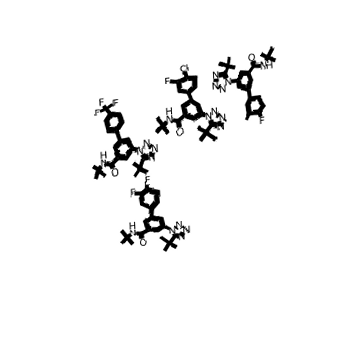 CC(C)(C)NC(=O)c1cc(-c2ccc(C(F)(F)F)cc2)cc(-n2nnnc2C(C)(C)C)c1.CC(C)(C)NC(=O)c1cc(-c2ccc(Cl)c(F)c2)cc(-n2nnnc2C(C)(C)C)c1.CC(C)(C)NC(=O)c1cc(-c2ccc(F)c(F)c2)cc(-n2nnnc2C(C)(C)C)c1.Cc1cc(-c2cc(C(=O)NC(C)(C)C)cc(-n3nnnc3C(C)(C)C)c2)ccc1F